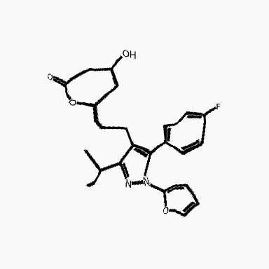 CC(C)c1nn(-c2ccco2)c(-c2ccc(F)cc2)c1CCC1CC(O)CC(=O)O1